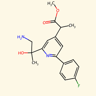 COC(=O)C(C)c1cc(-c2ccc(F)cc2)nc(C(C)(O)CN)c1